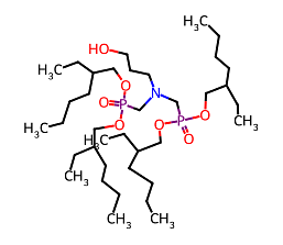 CCCCC(CC)COP(=O)(CN(CCCO)CP(=O)(OCC(CC)CCCC)OCC(CC)CCCC)OCC(CC)CCCC